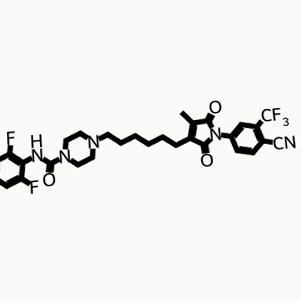 CC1=C(CCCCCCN2CCN(C(=O)Nc3c(F)cccc3F)CC2)C(=O)N(c2ccc(C#N)c(C(F)(F)F)c2)C1=O